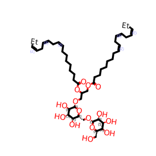 CC/C=C\C/C=C\C/C=C\CCCCCCCC(=O)OCC(CO[C@@H]1O[C@H](CO[C@H]2O[C@H](CO)[C@H](O)[C@H](O)[C@H]2O)[C@H](O)[C@H](O)[C@H]1O)OC(=O)CCCCCCC/C=C\C/C=C\C/C=C\CC